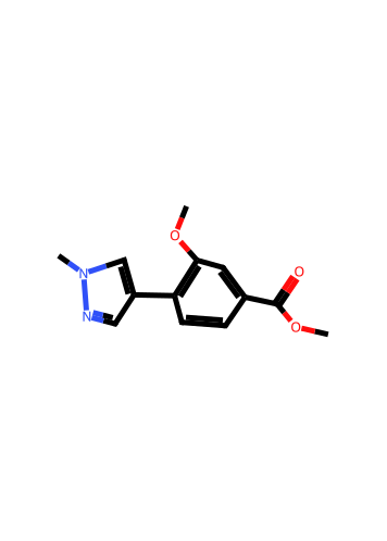 COC(=O)c1ccc(-c2cnn(C)c2)c(OC)c1